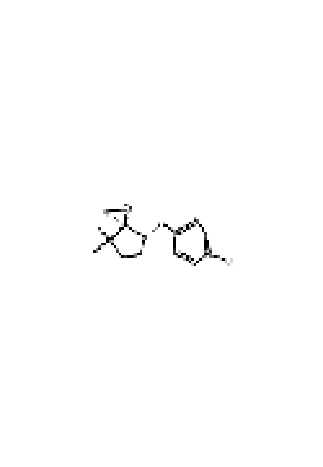 CC1(C)CC[C@@H](Cc2ccc(Cl)cc2)[C@@]12CO2